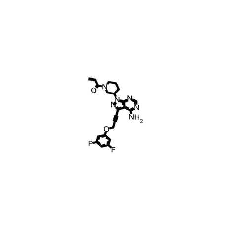 C=CC(=O)N1CCCC(n2nc(C#CCOc3cc(F)cc(F)c3)c3c(N)ncnc32)C1